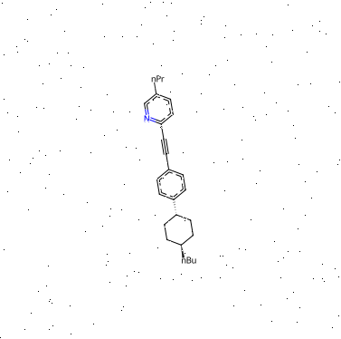 CCCC[C@H]1CC[C@H](c2ccc(C#Cc3ccc(CCC)cn3)cc2)CC1